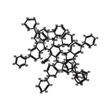 N#Cc1c(-n2c3ccc(-c4ccccc4)cc3c3cc(-c4ccccc4)ccc32)c(-n2c3ccccc3c3ccccc32)c(-c2ccccc2)c(-n2c3ccc(-c4ccccc4)cc3c3cc(-c4ccccc4)ccc32)c1-n1c2ccc(-c3ccccc3)cc2c2cc(-c3ccccc3)ccc21